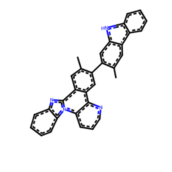 Cc1cc2c(cc1-c1cc3c(cc1C)c1nc4ccccc4n1c1cccnc31)[nH]c1ccccc12